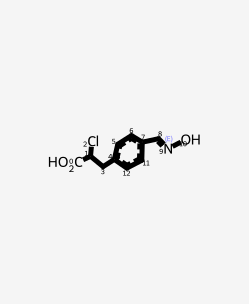 O=C(O)C(Cl)Cc1ccc(/C=N/O)cc1